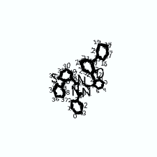 c1ccc(-c2nc(-c3cccc4oc5c(-c6ccccc6)cccc5c34)nc(-c3cccc4sc5ccccc5c34)n2)cc1